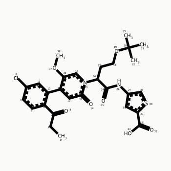 CCC(=O)c1ccc(Cl)cc1-c1cc(=O)n(C(CCOC(C)(C)C)C(=O)Nc2csc(C(=O)O)c2)cc1OC